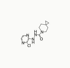 O=C(NNc1nccnc1Cl)N1CCC2(CC1)CC2